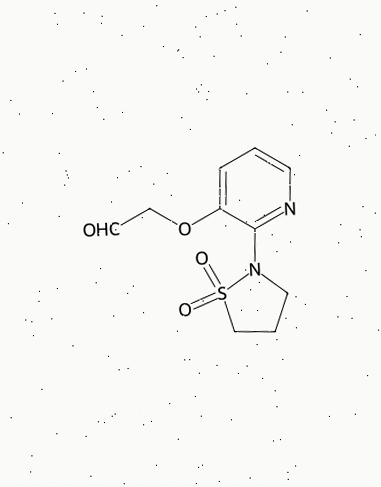 O=CCOc1cccnc1N1CCCS1(=O)=O